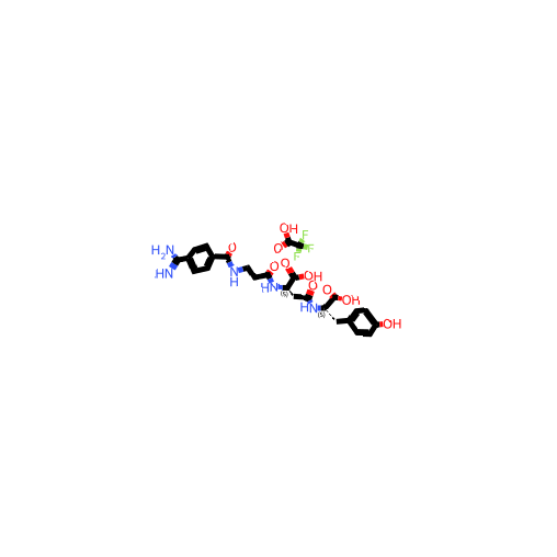 N=C(N)c1ccc(C(=O)NCCC(=O)N[C@@H](CC(=O)N[C@@H](Cc2ccc(O)cc2)C(=O)O)C(=O)O)cc1.O=C(O)C(F)(F)F